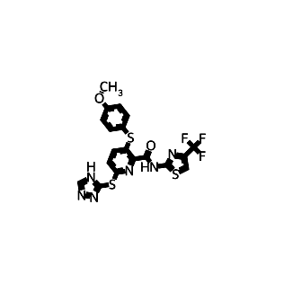 COc1ccc(Sc2ccc(Sc3nnc[nH]3)nc2C(=O)Nc2nc(C(F)(F)F)cs2)cc1